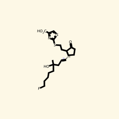 CC(O)(C/C=C/[C@H]1CCC(=O)C1CCSc1nc(C(=O)O)cs1)CCCCCF